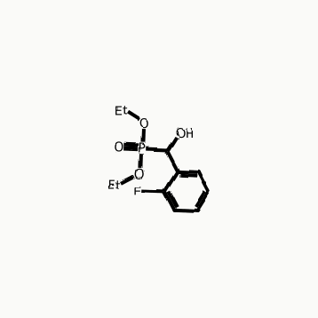 CCOP(=O)(OCC)C(O)c1ccccc1F